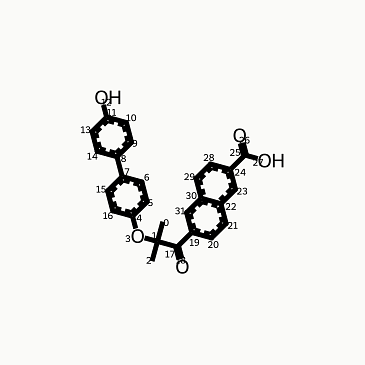 CC(C)(Oc1ccc(-c2ccc(O)cc2)cc1)C(=O)c1ccc2cc(C(=O)O)ccc2c1